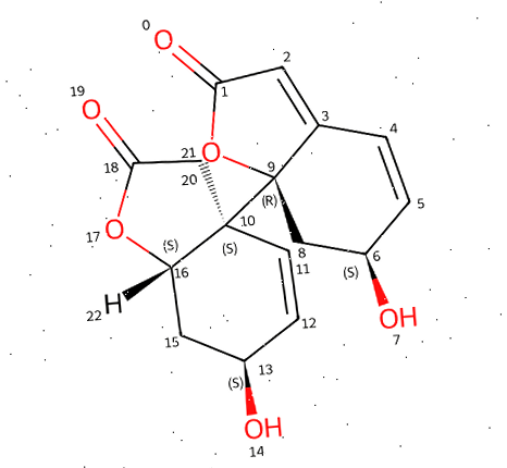 O=C1C=C2C=C[C@@H](O)C[C@@]2([C@@]23C=C[C@@H](O)C[C@@H]2OC(=O)C3)O1